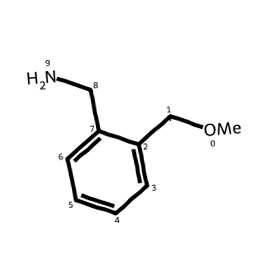 CO[CH]c1ccccc1CN